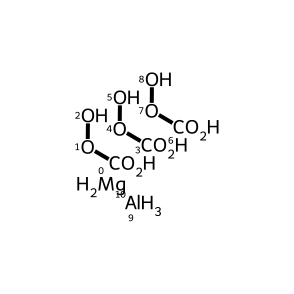 O=C(O)OO.O=C(O)OO.O=C(O)OO.[AlH3].[MgH2]